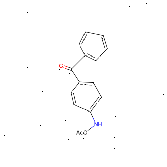 CC(=O)ONc1ccc(C(=O)c2ccccc2)cc1